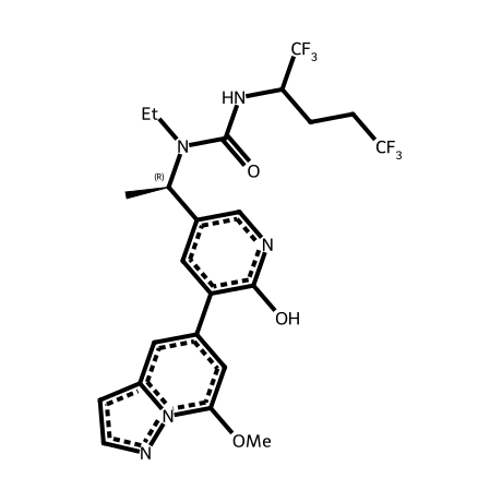 CCN(C(=O)NC(CCC(F)(F)F)C(F)(F)F)[C@H](C)c1cnc(O)c(-c2cc(OC)n3nccc3c2)c1